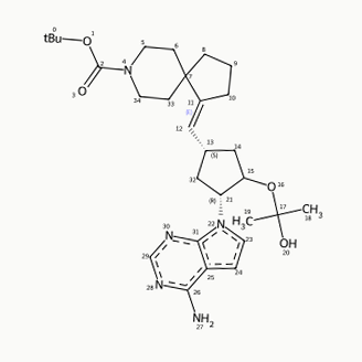 CC(C)(C)OC(=O)N1CCC2(CCC/C2=C\[C@@H]2CC(OC(C)(C)O)[C@H](n3ccc4c(N)ncnc43)C2)CC1